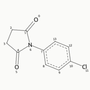 O=C1CCC(=O)N1c1ccc(Cl)cc1